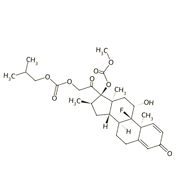 COC(=O)O[C@]1(C(=O)COC(=O)OCC(C)C)[C@H](C)C[C@H]2[C@@H]3CCC4=CC(=O)C=C[C@]4(C)[C@@]3(F)[C@@H](O)C[C@@]21C